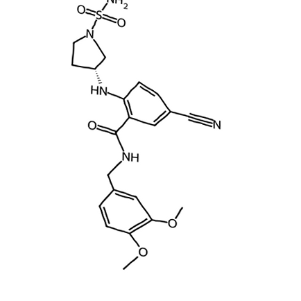 COc1ccc(CNC(=O)c2cc(C#N)ccc2N[C@@H]2CCN(S(N)(=O)=O)C2)cc1OC